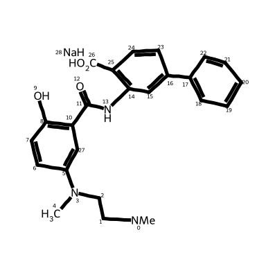 CNCCN(C)c1ccc(O)c(C(=O)Nc2cc(-c3ccccc3)ccc2C(=O)O)c1.[NaH]